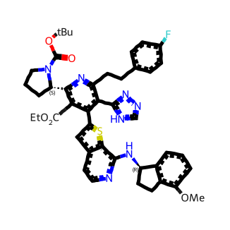 CCOC(=O)c1c([C@@H]2CCCN2C(=O)OC(C)(C)C)nc(CCc2ccc(F)cc2)c(-c2nnc[nH]2)c1-c1cc2ccnc(N[C@@H]3CCc4c(OC)cccc43)c2s1